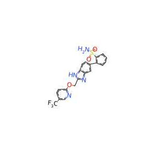 NS(=O)(=O)c1ccccc1-c1ccc2[nH]c(COc3ccc(C(F)(F)F)cn3)nc2c1